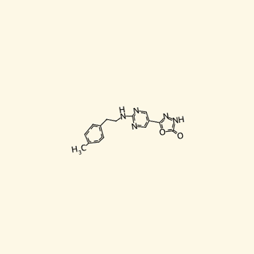 Cc1ccc(CCNc2ncc(-c3n[nH]c(=O)o3)cn2)cc1